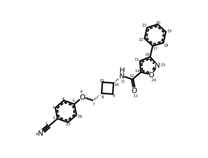 N#Cc1ccc(OC[C@H]2C[C@@H](NC(=O)c3cc(-c4ccccc4)no3)C2)cc1